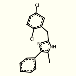 Cc1[nH]c(Cc2cc(Cl)ccc2Cl)nc1-c1ccccc1